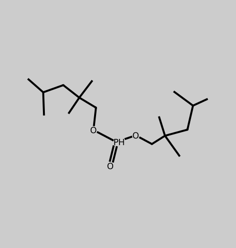 CC(C)CC(C)(C)CO[PH](=O)OCC(C)(C)CC(C)C